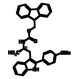 COc1ccc(-c2[nH]c3ccccc3c2C[C@H](NC(=O)OCC2c3ccccc3-c3ccccc32)C(=O)O)cc1